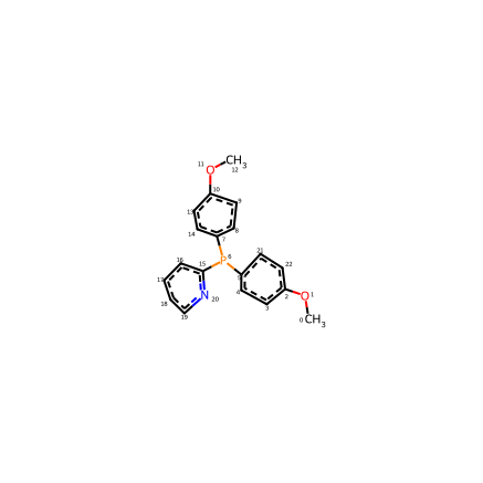 COc1ccc(P(c2ccc(OC)cc2)c2ccccn2)cc1